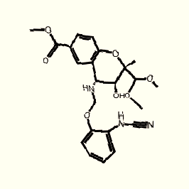 COC(=O)c1ccc2c(c1)[C@@H](NCOc1ccccc1NC#N)[C@H](O)[C@@](C)(C(OC)OC)O2